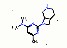 Cc1cc(N(C)C)nc(N2CC3CCNCC32)n1